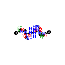 CN[C@@H](C)C(=O)N[C@@H](CC(=O)NCCNC(=O)C[C@H](NC(=O)[C@H](C)NC)C(=O)N1CCC[C@H]1CN(CCc1ccccc1)C(=O)C(F)(F)F)C(=O)N1CCC[C@H]1CN(CCc1ccccc1)C(=O)C(F)(F)F